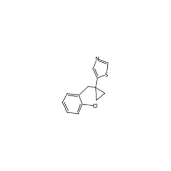 Clc1ccccc1CC1(c2cncs2)CC1